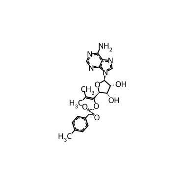 CC(C)=C(OS(=O)(=O)c1ccc(C)cc1)[C@H]1O[C@@H](n2cnc3c(N)ncnc32)[C@H](O)[C@@H]1O